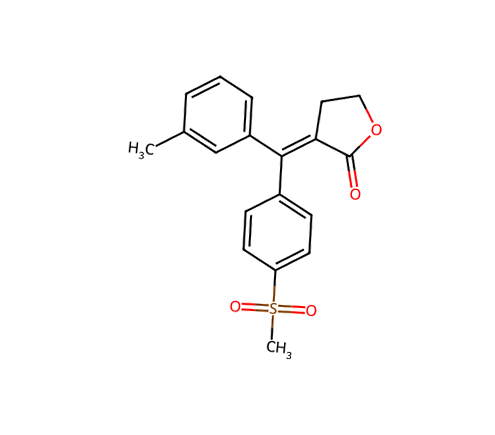 Cc1cccc(C(=C2CCOC2=O)c2ccc(S(C)(=O)=O)cc2)c1